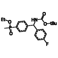 CCOP(C)(=O)c1ccc(C(NC(=O)OC(C)(C)C)c2ccc(F)cc2)cc1